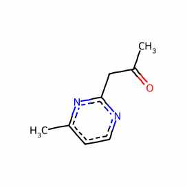 CC(=O)Cc1nccc(C)n1